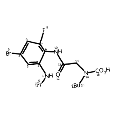 CC(C)Nc1cc(Br)cc(F)c1NC(=O)CN(C(=O)O)C(C)(C)C